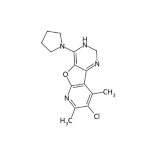 Cc1nc2oc3c(c2c(C)c1Cl)=NCNC=3N1CCCC1